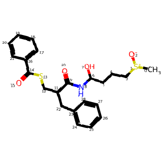 C[S+]([O-])CCCC(O)NC(=O)C(CSC(=O)c1ccccc1)Cc1ccccc1